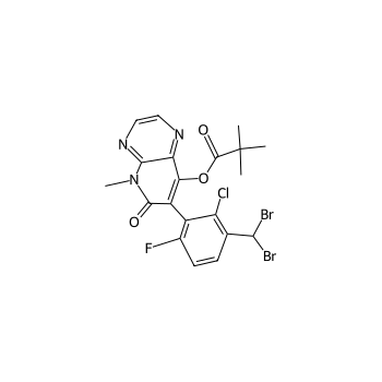 Cn1c(=O)c(-c2c(F)ccc(C(Br)Br)c2Cl)c(OC(=O)C(C)(C)C)c2nccnc21